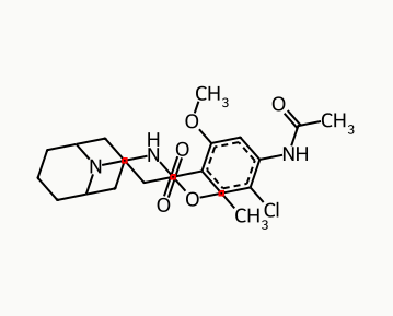 CCOC(=O)CCN1C2CCCC1CC(NC(=O)c1cc(Cl)c(NC(C)=O)cc1OC)C2